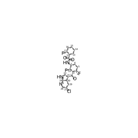 O=C(c1c(F)ccc(NS(=O)(=O)c2ccccc2F)c1F)c1c[nH]c2ncc(Cl)cc12